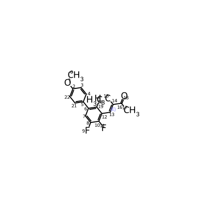 COc1ccc(-c2cc(F)c(F)c(/C=C(\C)C(C)=O)c2C)cc1